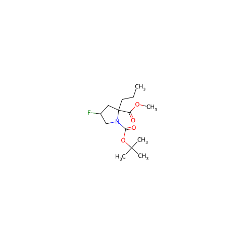 CCCC1(C(=O)OC)CC(F)CN1C(=O)OC(C)(C)C